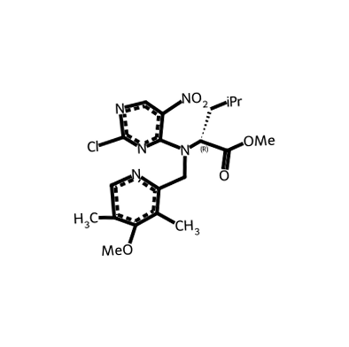 COC(=O)[C@@H](CC(C)C)N(Cc1ncc(C)c(OC)c1C)c1nc(Cl)ncc1[N+](=O)[O-]